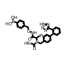 CCCCC(=O)N(Cc1ccc(-c2ccccc2-c2nn[nH]n2)cc1)C(C(=O)NOCc1ccc(B(O)O)cc1)C(C)C